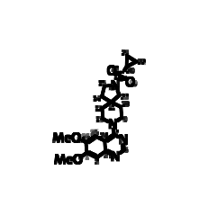 COc1cc2ncnc(N3CCC4(CC3)CCN(S(=O)(=O)C3CC3)C4)c2cc1OC